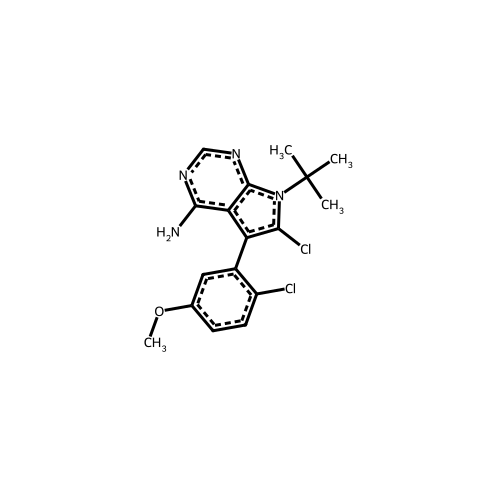 COc1ccc(Cl)c(-c2c(Cl)n(C(C)(C)C)c3ncnc(N)c23)c1